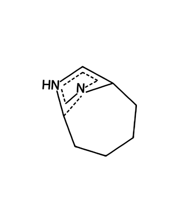 c1[nH]c2nc1CCCC2